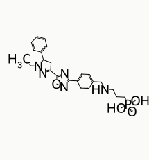 CCN1N=C(c2nc(-c3ccc(CNCCCP(=O)(O)O)cc3)no2)CC1c1ccccc1